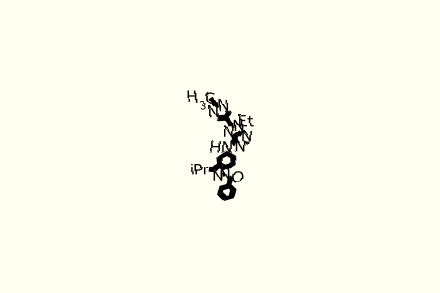 CCn1c(-c2cnc(C)nc2)nc2c(N[C@@H]3CCc4c(c(C(C)C)nn4C(=O)c4ccccc4)C3)ncnc21